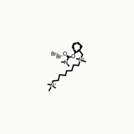 CN(C)C(=O)Oc1ccccc1C[N+](C)(C)CCCCCCCC[N+](C)(C)C.[Br-].[Br-]